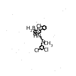 Bc1cnn2c(NCCCN(C)Cc3cc(Cl)cc(Cl)c3)cc(-c3ccccc3Cl)nc12